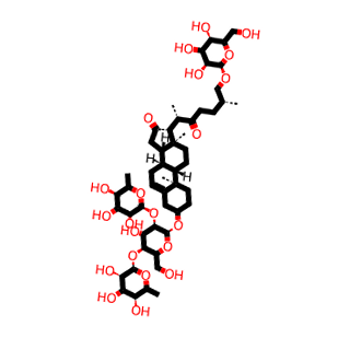 CC1O[C@@H](O[C@@H]2C(CO)O[C@@H](OC3CC[C@@]4(C)C(=CC[C@H]5[C@@H]6CC(=O)[C@H]([C@H](C)C(=O)CC[C@@H](C)CO[C@@H]7OC(CO)[C@@H](O)C(O)[C@@H]7O)[C@@]6(C)CC[C@@H]54)C3)[C@@H](O[C@@H]3OC(C)[C@H](O)C(O)[C@@H]3O)C2O)[C@@H](O)C(O)[C@H]1O